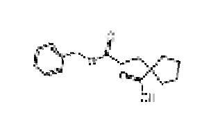 O=C(CCC1(C(=O)O)CCCC1)OCc1ccccc1